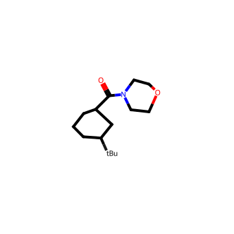 CC(C)(C)C1CCCC(C(=O)N2CCOCC2)C1